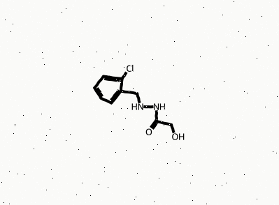 O=C(CO)NNCc1ccccc1Cl